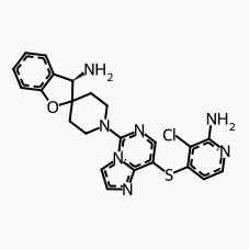 Nc1nccc(Sc2cnc(N3CCC4(CC3)Oc3ccccc3[C@H]4N)n3ccnc23)c1Cl